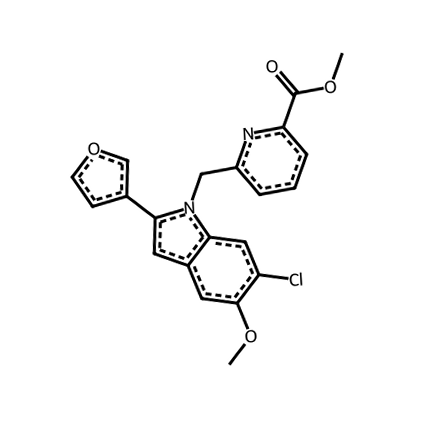 COC(=O)c1cccc(Cn2c(-c3ccoc3)cc3cc(OC)c(Cl)cc32)n1